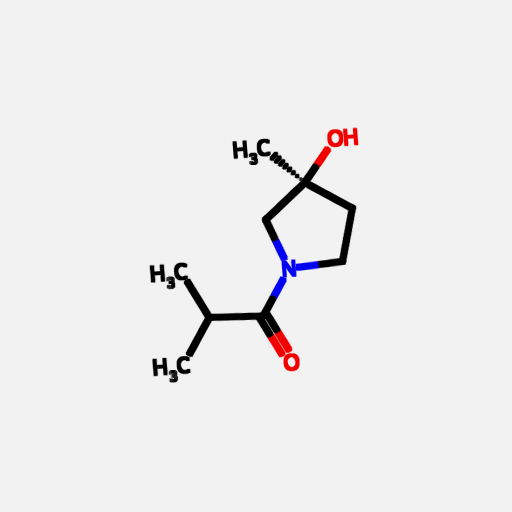 CC(C)C(=O)N1CC[C@](C)(O)C1